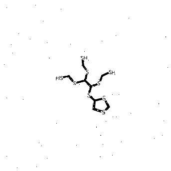 SCSC(SCS)C(SCS)SC1CSCS1